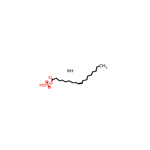 CCCCCCCC/C=C\CCCCCCCC(=O)OS(=O)(=O)O.[KH]